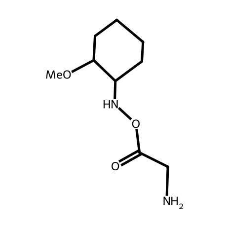 COC1CCCCC1NOC(=O)CN